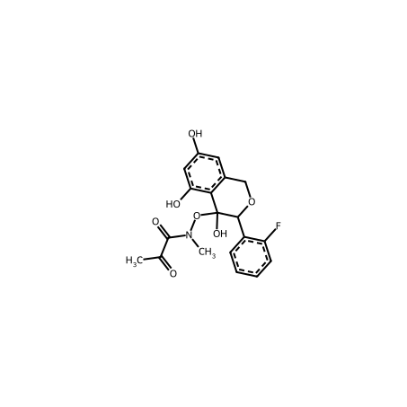 CC(=O)C(=O)N(C)OC1(O)c2c(O)cc(O)cc2COC1c1ccccc1F